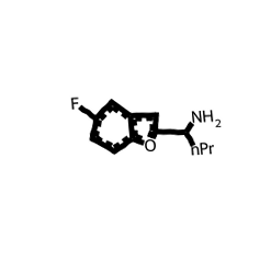 CCCC(N)c1cc2cc(F)ccc2o1